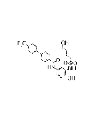 O=C(Nc1ccc(O)c(NS(=O)(=O)CCCCO)c1)c1ccc(-c2ccc(C(F)(F)F)cc2)cc1